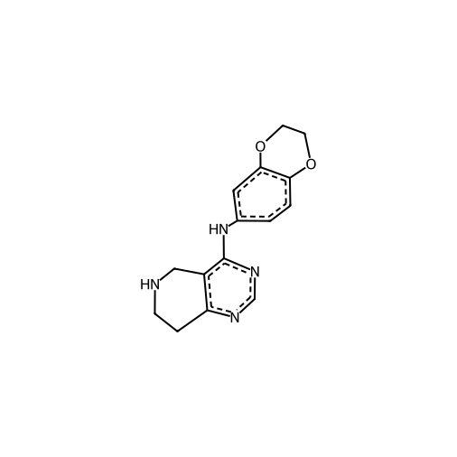 c1nc2c(c(Nc3ccc4c(c3)OCCO4)n1)CNCC2